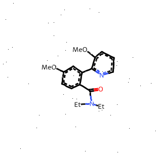 CCN(CC)C(=O)c1ccc(OC)cc1-c1ncccc1OC